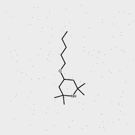 CCCCCOC1CC(C)(C)NC(C)(C)C1